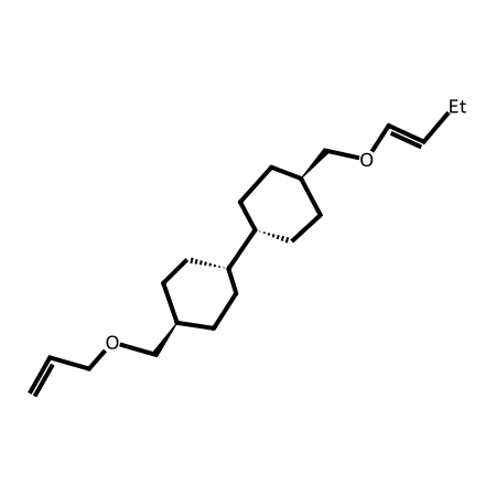 C=CCOC[C@H]1CC[C@H]([C@H]2CC[C@H](COC=CCC)CC2)CC1